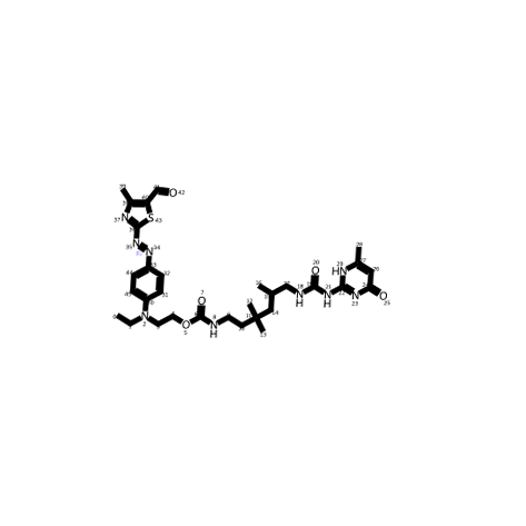 CCN(CCOC(=O)NCCC(C)(C)CC(C)CNC(=O)Nc1nc(=O)cc(C)[nH]1)c1ccc(/N=N/c2nc(C)c(C=O)s2)cc1